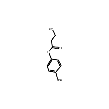 CC(C)CCC(=O)Oc1ccc(C(C)(C)C)cc1